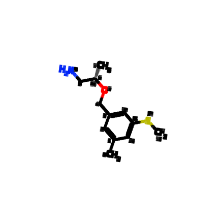 Cc1cc(CO[C@@H](C)CN)cc(SC(F)(F)F)c1